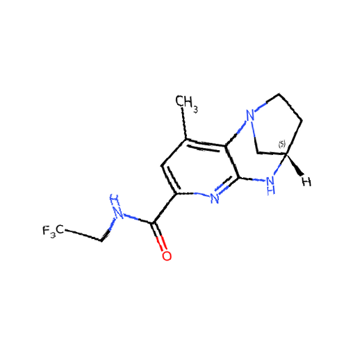 Cc1cc(C(=O)NCC(F)(F)F)nc2c1N1CC[C@@H](C1)N2